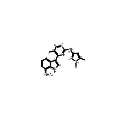 CC(=O)Nc1cccc2c(-c3nc(Nc4cc(C)n(C)n4)ncc3C)c[nH]c12